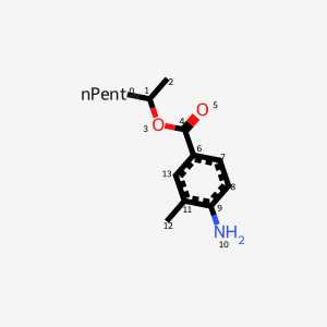 CCCCCC(C)OC(=O)c1ccc(N)c(C)c1